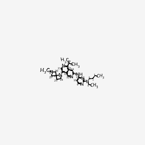 CCCCN(CC)c1nccc(Nc2cc3c(C(C)C)ncc(N4CCC45CN(C)C5)c3cn2)n1